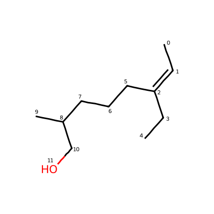 C/C=C(/CC)CCCC(C)CO